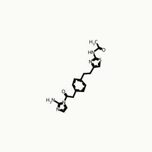 CC(=O)Nc1nc(CCc2ccc(CC(=O)n3ccnc3N)cc2)cs1